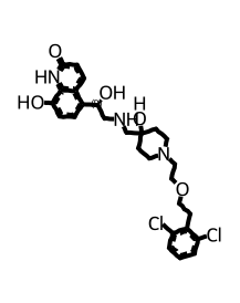 O=c1ccc2c([C@@H](O)CNCC3(O)CCN(CCOCCc4c(Cl)cccc4Cl)CC3)ccc(O)c2[nH]1